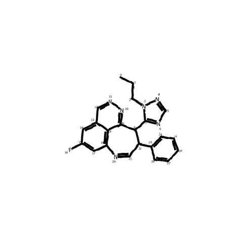 CCCn1ncnc1C1c2nncc3cc(F)cc(c23)N=CC1c1ccccc1